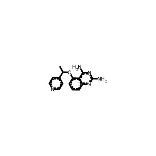 CC(Oc1cccc2nc(N)nc(N)c12)c1ccncc1